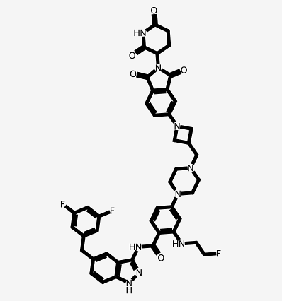 O=C1CCC(N2C(=O)c3ccc(N4CC(CN5CCN(c6ccc(C(=O)Nc7n[nH]c8ccc(Cc9cc(F)cc(F)c9)cc78)c(NCCF)c6)CC5)C4)cc3C2=O)C(=O)N1